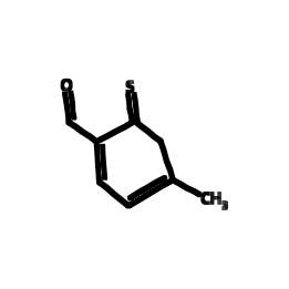 CC1=CC=C(C=O)C(=S)C1